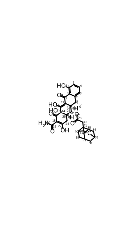 C[C@H]1c2cccc(O)c2C(=O)C2=C(O)[C@]3(O)C(=O)C(C(N)=O)=C(O)C[C@@H]3[C@@H](OC(=O)CC3CC4CC5CC(C4)CC3C5)[C@@H]21